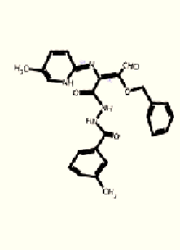 Cc1cc/c(=N/C(C(=O)NNC(=O)c2cccc(C)c2)=C(\C=O)OCc2ccccc2)[nH]c1